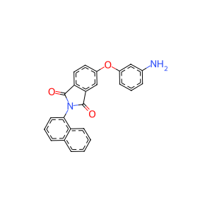 Nc1cccc(Oc2ccc3c(c2)C(=O)N(c2cccc4ccccc24)C3=O)c1